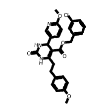 COc1ccc(CCC2=C(C(=O)OCc3cccc(Cl)c3)C(c3ccc(OC)nc3)NC(=O)N2)cc1